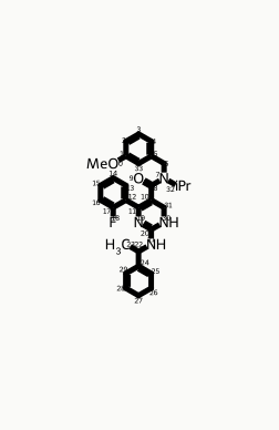 COc1cccc(CN(C(=O)C2=C(c3ccccc3F)N=C(NC(C)C3=CCCC=C3)NC2)C(C)C)c1